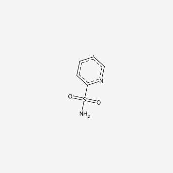 NS(=O)(=O)c1cc[c]cn1